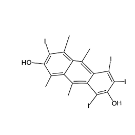 Cc1c(O)c(I)c(C)c2c(C)c3c(I)c(I)c(O)c(I)c3c(C)c12